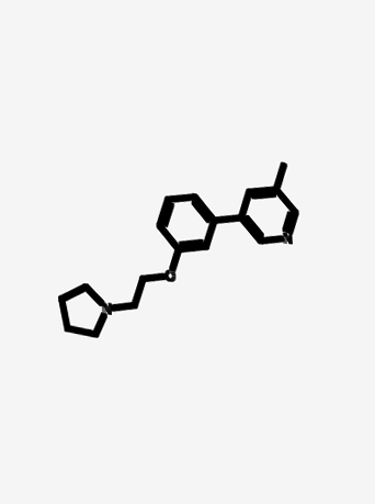 Cc1cncc(-c2cccc(OCCN3CCCC3)c2)c1